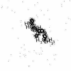 CC(C)(C)c1ccc(Oc2ccc3cc(C(=O)N[C@@H](CC4CNc5ccccc54)C(=O)O)nc(CC4CCCC4)c3c2)cc1